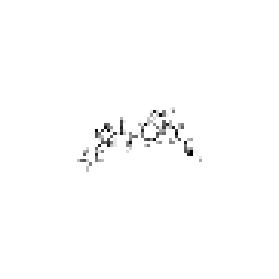 Cc1nc2cc(C(=O)Nc3nc(-c4ccco4)ns3)ccc2n1CCCN